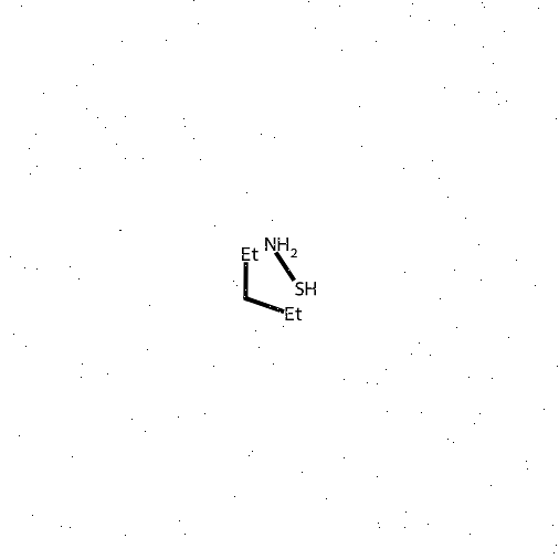 CCCCC.NS